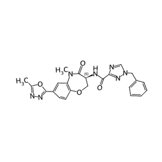 Cc1nnc(-c2ccc3c(c2)N(C)C(=O)[C@@H](NC(=O)c2ncn(Cc4ccccc4)n2)CO3)o1